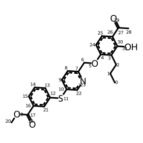 CCCc1c(OCc2ccc(Sc3cccc(C(=O)OC)c3)cn2)ccc(C(C)=O)c1O